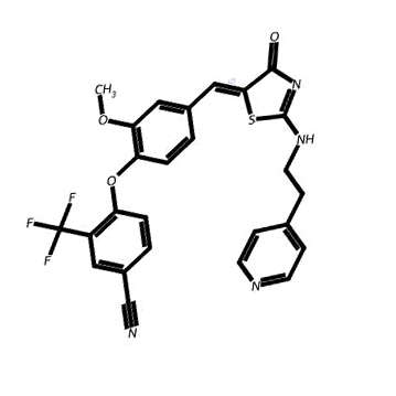 COc1cc(/C=C2\SC(NCCc3ccncc3)=NC2=O)ccc1Oc1ccc(C#N)cc1C(F)(F)F